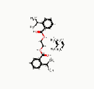 C=CC.C=CC.CC(C)c1ccccc1C(=O)OCCOC(=O)c1ccccc1C(C)C